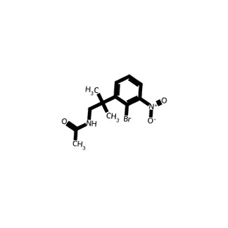 CC(=O)NCC(C)(C)c1cccc([N+](=O)[O-])c1Br